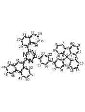 c1ccc(C2(c3ccccc3)c3ccccc3-c3ccc(-c4ccc(-c5nc(-c6cccc7ccccc67)nc(-c6cc7ccccc7c7ccccc67)n5)cc4)cc32)cc1